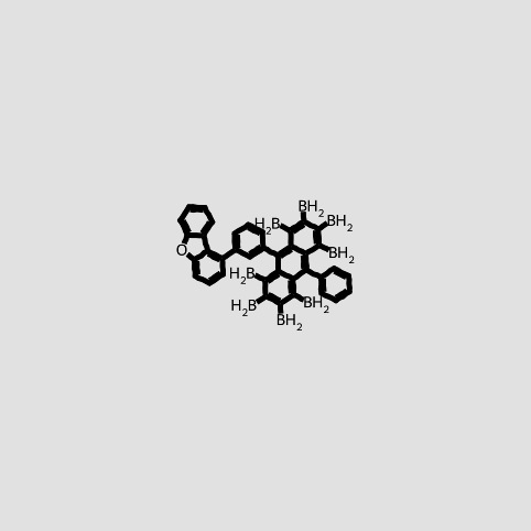 Bc1c(B)c(B)c2c(-c3cccc(-c4cccc5oc6ccccc6c45)c3)c3c(B)c(B)c(B)c(B)c3c(-c3ccccc3)c2c1B